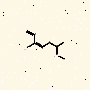 C=C/C(F)=C\CC(C)OC